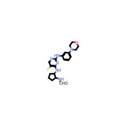 O=CNC1CCCC1Nc1nc(Nc2cccc(N3CCOCC3)c2)ncc1F